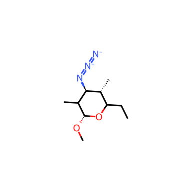 CCC1O[C@H](OC)C(C)[C@@H](N=[N+]=[N-])[C@@H]1C